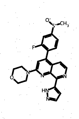 C[S+]([O-])c1ccc(-c2cc(N3CCOCC3)nc3c(-c4ccn[nH]4)nccc23)c(F)c1